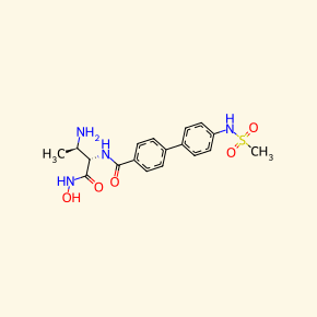 C[C@@H](N)[C@H](NC(=O)c1ccc(-c2ccc(NS(C)(=O)=O)cc2)cc1)C(=O)NO